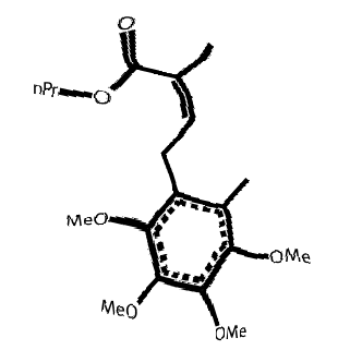 CCCOC(=O)C(C)=CCc1c(C)c(OC)c(OC)c(OC)c1OC